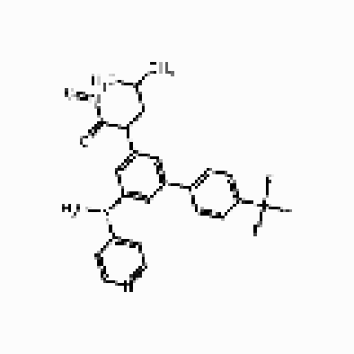 CC(C)CC(C(=O)N=O)c1cc(-c2ccc(C(F)(F)F)cc2)cc(N(C)c2ccncc2)c1